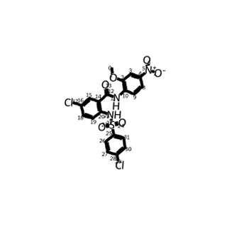 COc1cc([N+](=O)[O-])ccc1NC(=O)c1cc(Cl)ccc1NS(=O)(=O)c1ccc(Cl)cc1